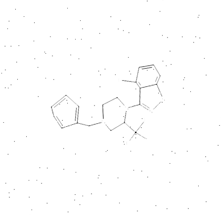 Fc1cccc2[nH]nc(N3CCN(Cc4ccccc4)CC3C(F)(F)F)c12